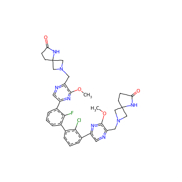 COc1nc(-c2cccc(-c3cccc(-c4cnc(CN5CC6(CCC(=O)N6)C5)c(OC)n4)c3Cl)c2F)cnc1CN1CC2(CCC(=O)N2)C1